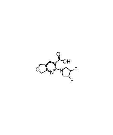 O=C(O)c1cc2c(nc1N1C[C@@H](F)[C@@H](F)C1)COC2